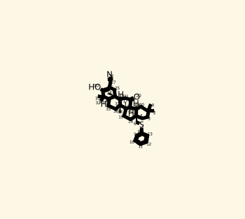 CC1(C)CC[C@]2(CSc3ccccc3)CC[C@]3(C)[C@H](C(=O)C[C@@H]4[C@@]5(C)CC(C#N)=C(O)C(C)(C)[C@@H]5CC[C@]43C)[C@@H]2C1